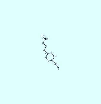 N#Cc1ccc(CCCNI)cc1